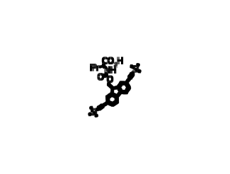 CC(C)[C@H](NC(=O)OCC1c2cc(C#C[Si](C)(C)C)ccc2-c2ccc(C#C[Si](C)(C)C)cc21)C(=O)O